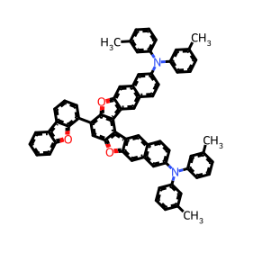 Cc1cccc(N(c2cccc(C)c2)c2ccc3cc4c(cc3c2)oc2cc(-c3cccc5c3oc3ccccc35)c3oc5cc6cc(N(c7cccc(C)c7)c7cccc(C)c7)ccc6cc5c3c24)c1